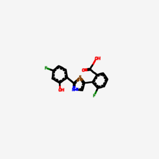 O=C(O)c1cccc(F)c1-c1cnc(-c2ccc(F)cc2O)s1